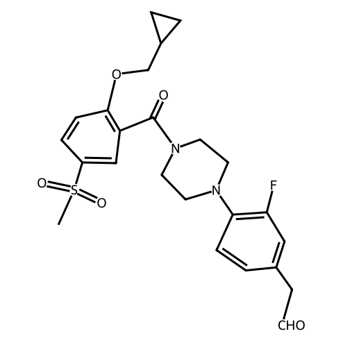 CS(=O)(=O)c1ccc(OCC2CC2)c(C(=O)N2CCN(c3ccc(CC=O)cc3F)CC2)c1